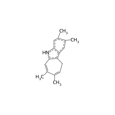 CC1=CCc2c([nH]c3cc(C)c(C)cc23)C=C1C